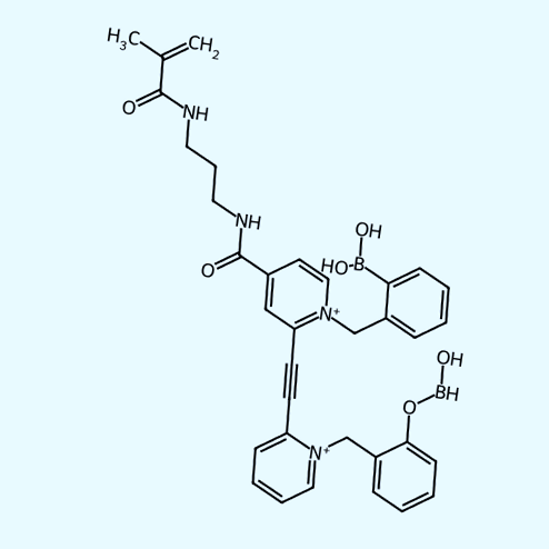 C=C(C)C(=O)NCCCNC(=O)c1cc[n+](Cc2ccccc2B(O)O)c(C#Cc2cccc[n+]2Cc2ccccc2OBO)c1